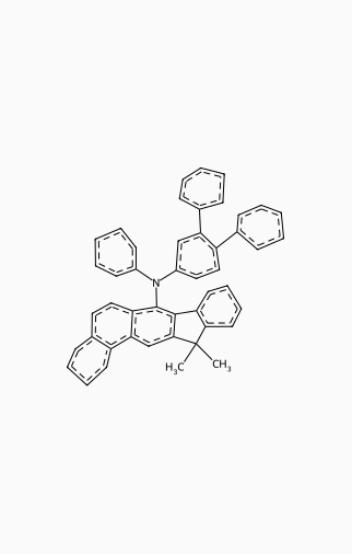 CC1(C)c2ccccc2-c2c1cc1c(ccc3ccccc31)c2N(c1ccccc1)c1ccc(-c2ccccc2)c(-c2ccccc2)c1